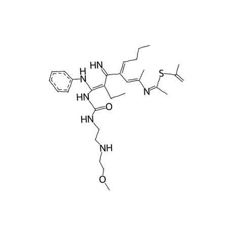 C=C(C)S\C(C)=N/C(C)=C/C(=C\CCC)C(=N)/C(CC)=C(/NC(=O)NCCNCCOC)Nc1ccccc1